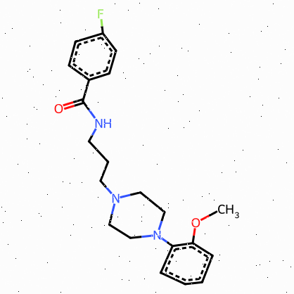 COc1ccccc1N1CCN(CCCNC(=O)c2ccc(F)cc2)CC1